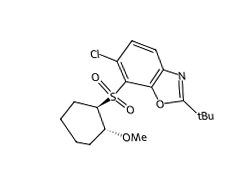 CO[C@@H]1CCCC[C@H]1S(=O)(=O)c1c(Cl)ccc2nc(C(C)(C)C)oc12